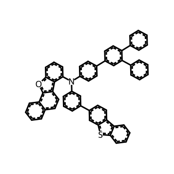 c1ccc(-c2ccc(-c3ccc(N(c4cccc(-c5ccc6c(c5)sc5ccccc56)c4)c4cccc5oc6c7ccccc7ccc6c45)cc3)cc2-c2ccccc2)cc1